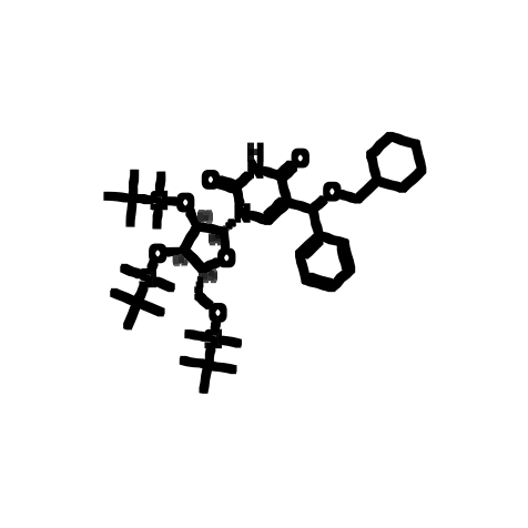 CC(C)(C)[Si](C)(C)OC[C@H]1O[C@@H](n2cc(C(OCC3CCCCC3)c3ccccc3)c(=O)[nH]c2=O)[C@H](O[Si](C)(C)C(C)(C)C)[C@@H]1O[Si](C)(C)C(C)(C)C